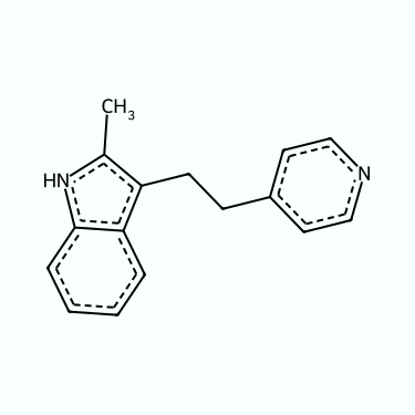 Cc1[nH]c2ccccc2c1CCc1ccncc1